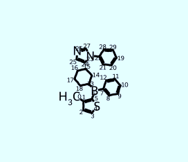 Cc1ccsc1B(c1ccccc1)C1CCCCC1.c1ccc(-n2ccnc2)cc1